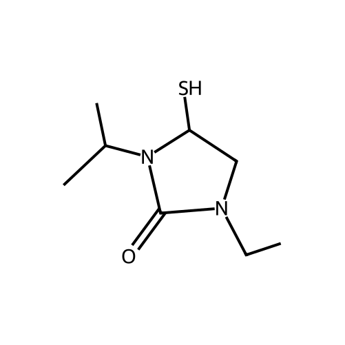 CCN1CC(S)N(C(C)C)C1=O